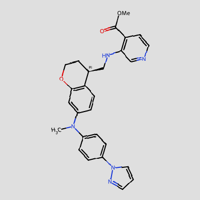 COC(=O)c1ccncc1NC[C@@H]1CCOc2cc(N(C)c3ccc(-n4cccn4)cc3)ccc21